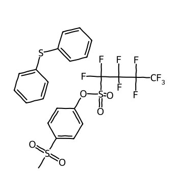 CS(=O)(=O)c1ccc(OS(=O)(=O)C(F)(F)C(F)(F)C(F)(F)C(F)(F)F)cc1.c1ccc(Sc2ccccc2)cc1